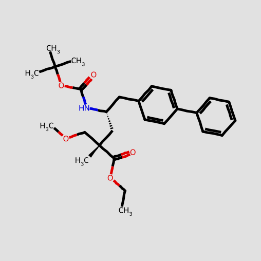 CCOC(=O)[C@](C)(COC)C[C@@H](Cc1ccc(-c2ccccc2)cc1)NC(=O)OC(C)(C)C